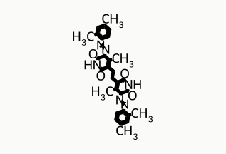 CC1=C(CCC2=C(C)C(N=Nc3ccc(C)cc3C)C(=O)NC2=O)C(=O)NC(=O)C1N=Nc1ccc(C)cc1C